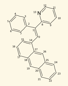 C(=C(/c1ccccc1)c1ccccn1)/c1cccc2cc3ccccc3cc12